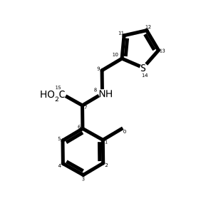 Cc1ccccc1C(NCc1cccs1)C(=O)O